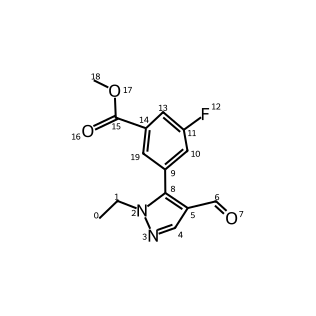 CCn1ncc(C=O)c1-c1cc(F)cc(C(=O)OC)c1